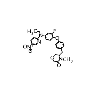 CCN(c1ccc(Oc2ccc(CC3COCC(=O)N3C)cc2)c(F)c1)c1ccc([N+](=O)[O-])cn1